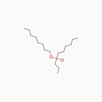 CCCCCCCCOC([O])(CCC)CCCCCC